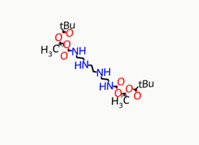 C[C@@H](OC(=O)NCCNCCNCCNC(=O)O[C@H](C)OC(=O)C(C)(C)C)OC(=O)C(C)(C)C